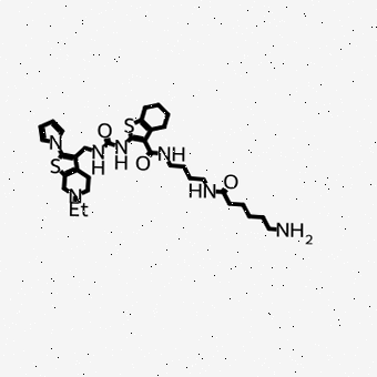 CCN1CCc2c(sc(-n3cccc3)c2CNC(=O)Nc2sc3c(c2C(=O)NCCCCNC(=O)CCCCCN)CCCC3)C1